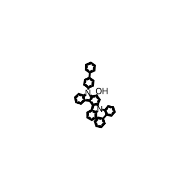 Oc1cc2c(c3ccccc3n2-c2ccccc2-c2ccccc2)c2c3ccccc3n(-c3ccc(-c4ccccc4)cc3)c12